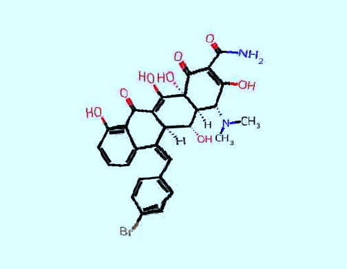 CN(C)[C@H]1C(O)=C(C(N)=O)C(=O)[C@]2(O)C(O)=C3C(=O)c4c(O)cccc4/C(=C\c4ccc(Br)cc4)[C@@H]3[C@@H](O)[C@H]12